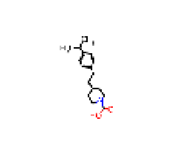 CC(C)c1ccc(CCC2CCN(C(=O)O)CC2)cc1